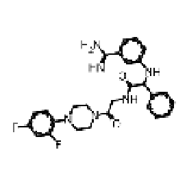 N=C(N)c1cccc(NC(C(=O)NCC(=O)N2CCN(c3ccc(F)cc3F)CC2)c2ccccc2)c1